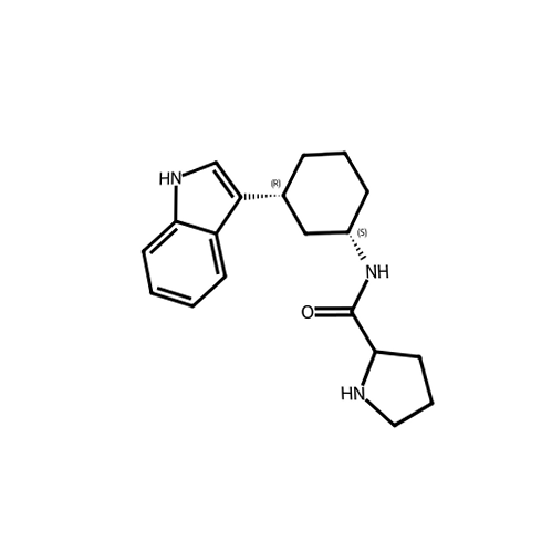 O=C(N[C@H]1CCC[C@@H](c2c[nH]c3ccccc23)C1)C1CCCN1